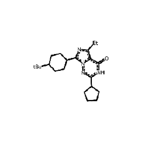 CCc1nc(C2CCC(C(C)(C)C)CC2)n2nc(C3CCCC3)[nH]c(=O)c12